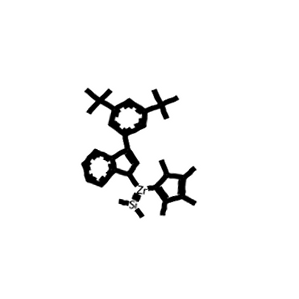 CC1=C(C)C(C)[C]([Zr]([CH]2C=C(c3cc(C(C)(C)C)cc(C(C)(C)C)c3)c3ccccc32)=[Si](C)C)=C1C